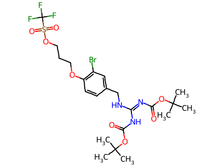 CC(C)(C)OC(=O)N=C(NCc1ccc(OCCCOS(=O)(=O)C(F)(F)F)c(Br)c1)NC(=O)OC(C)(C)C